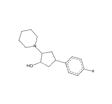 OC1CC(c2ccc(F)cc2)CC1N1CCCCC1